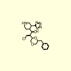 O=C(/C(=C/Cl)C1COCC(Cc2ccccc2)O1)C1CCNCC1c1nnn[nH]1